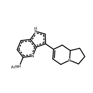 CC(=O)Nc1ccc2[nH]cc(C3=CCN4CCCC4C3)c2n1